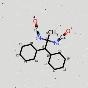 CC(N=C=O)(N=C=O)C(C1CCCCC1)C1CCCCC1